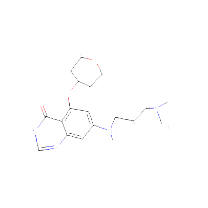 CN(C)CCCN(C)c1cc(OC2CCOCC2)c2c(=O)[nH]cnc2c1